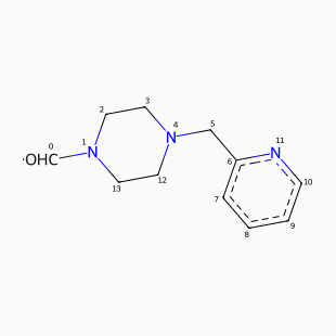 O=[C]N1CCN(Cc2ccccn2)CC1